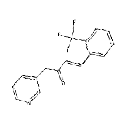 O=C(C=Cc1ccccc1C(F)(F)F)Cc1cccnc1